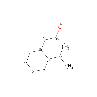 CC(C)C1CCCCC1CCO